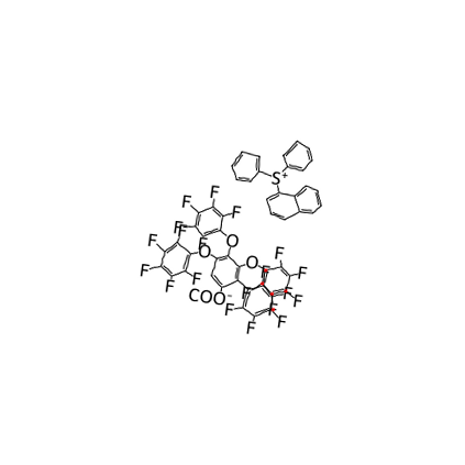 O=C([O-])c1cc(Oc2c(F)c(F)c(F)c(F)c2F)c(Oc2c(F)c(F)c(F)c(F)c2F)c(Oc2c(F)c(F)c(F)c(F)c2F)c1-c1c(F)c(F)c(F)c(F)c1F.c1ccc([S+](c2ccccc2)c2cccc3ccccc23)cc1